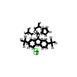 CC(C)C[Si](CC(C)C)=[Zr+2]([C]1=CC=CC1)[CH]1c2cc(C(C)(C)C)ccc2-c2ccc(C(C)(C)C)cc21.[Cl-].[Cl-]